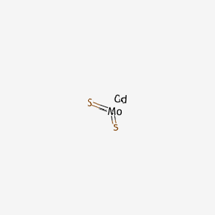 [Gd].[S]=[Mo]=[S]